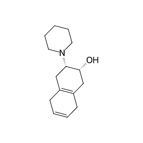 O[C@@H]1CC2=C(CC=CC2)C[C@@H]1N1CCCCC1